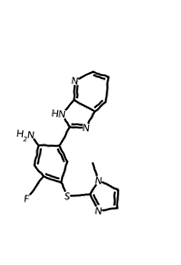 Cn1ccnc1Sc1cc(-c2nc3cccnc3[nH]2)c(N)cc1F